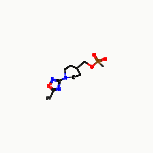 CC(C)c1nc(N2CCC(COS(C)(=O)=O)CC2)no1